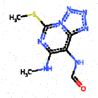 CNc1nc(SC)n2nnnc2c1NC=O